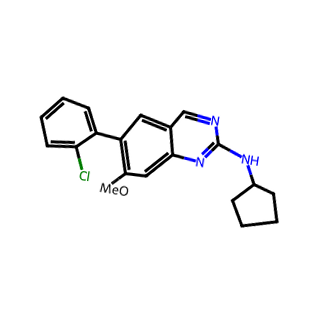 COc1cc2nc(NC3CCCC3)ncc2cc1-c1ccccc1Cl